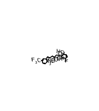 CC(C)(CC(O)(Cc1cc2cc(C(F)(F)F)ccc2[nH]1)C(F)(F)F)c1cc(F)ccc1O